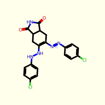 O=C1NC(=O)C2CC(NNc3ccc(Cl)cc3)=C(/N=N/c3ccc(Cl)cc3)CC12